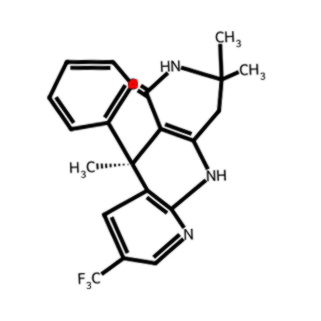 CC1(C)CC2=C(C(=O)N1)[C@](C)(c1ccccc1)c1cc(C(F)(F)F)cnc1N2